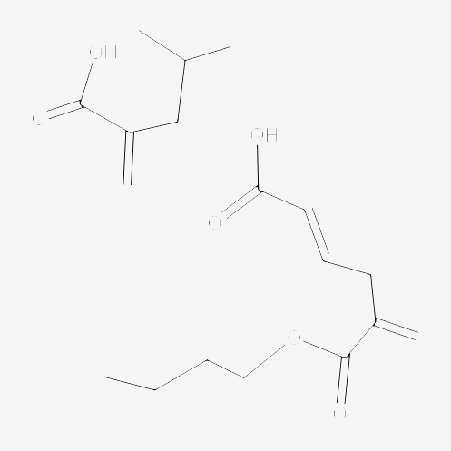 C=C(CC(C)C)C(=O)O.C=C(CC=CC(=O)O)C(=O)OCCCC